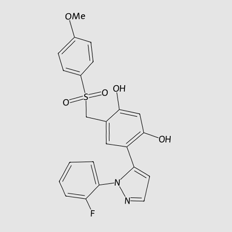 COc1ccc(S(=O)(=O)Cc2cc(-c3ccnn3-c3ccccc3F)c(O)cc2O)cc1